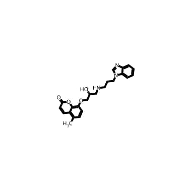 Cc1ccc(OCC(O)CNCCCn2cnc3ccccc32)c2oc(=O)ccc12